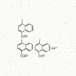 Cc1ccc(C(=O)[O-])c2ccccc12.Cc1ccc(C(=O)[O-])c2ccccc12.Cc1ccc(C(=O)[O-])c2ccccc12.[Ga+3]